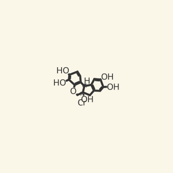 Oc1cc2c(cc1O)[C@H]1c3ccc(O)c(O)c3OC[C@@]1(O)C2.[Cr]